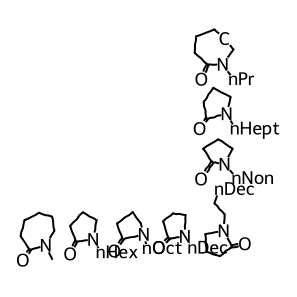 CCCCCCCCCCCCN1CCCC1=O.CCCCCCCCCCN1CCCC1=O.CCCCCCCCCN1CCCC1=O.CCCCCCCCN1CCCC1=O.CCCCCCCN1CCCC1=O.CCCCCCN1CCCC1=O.CCCN1CCCCCC1=O.CN1CCCCCC1=O